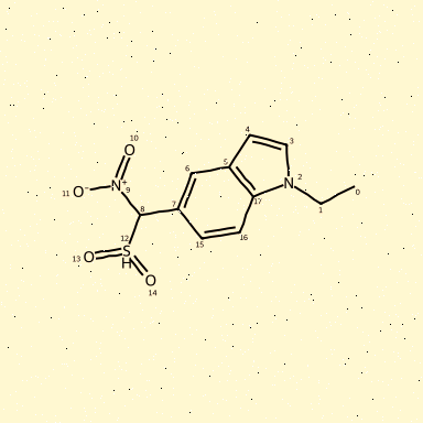 CCn1ccc2cc(C([N+](=O)[O-])[SH](=O)=O)ccc21